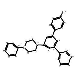 Clc1ccc(-c2cc(N3CCN(c4ccccc4)CC3)nc(-c3cccnc3)n2)cc1